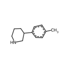 Cc1ccc(C2CCCNC2)cc1